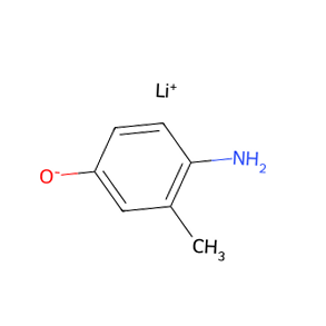 Cc1cc([O-])ccc1N.[Li+]